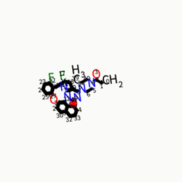 C=CC(=O)N1CCN(c2nc(=O)n3c4nc(c(F)cc24)c2c(F)cccc2oc2ccc4ccccc4c23)[C@@H](C)C1